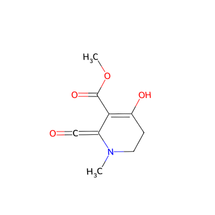 COC(=O)C1=C(O)CCN(C)C1=C=O